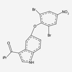 CC(C)C(=O)c1c[nH]c2ccc(Oc3c(Br)cc([N+](=O)[O-])cc3Br)cc12